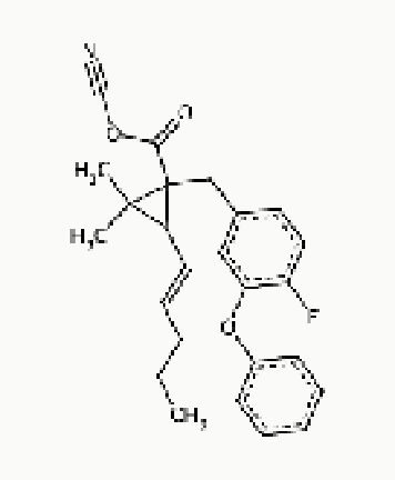 CCCC=CC1C(C)(C)C1(Cc1ccc(F)c(Oc2ccccc2)c1)C(=O)OC#N